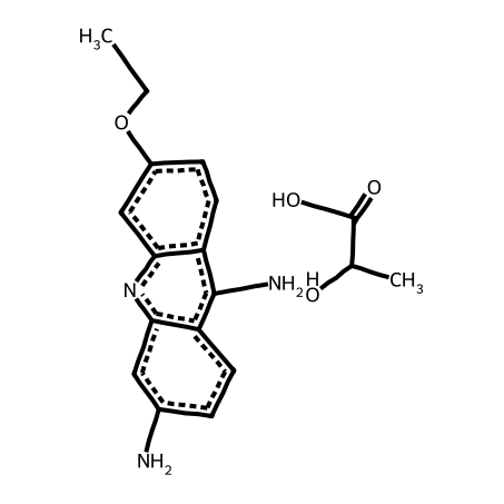 CC(O)C(=O)O.CCOc1ccc2c(N)c3ccc(N)cc3nc2c1